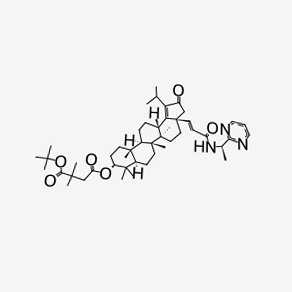 CC(C)C1=C2[C@H]3CC[C@@H]4[C@@]5(C)CC[C@H](OC(=O)CC(C)(C)C(=O)OC(C)(C)C)C(C)(C)[C@@H]5CC[C@@]4(C)[C@]3(C)CC[C@@]2(C=CC(=O)N[C@H](C)c2ncccn2)CC1=O